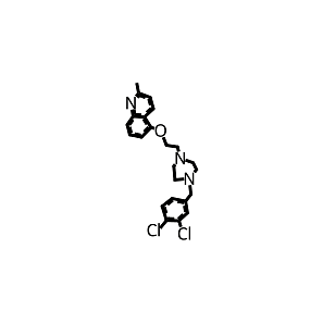 Cc1ccc2c(OCCN3CCN(Cc4ccc(Cl)c(Cl)c4)CC3)cccc2n1